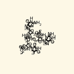 CCOP(=O)(O)O[C@@H]1C[C@H](n2cc(C)c(=O)[nH]c2=O)O[C@@H]1COP(O)(=S)O[C@@H]1C[C@H](n2cnc3c(=O)[nH]c(N)nc32)O[C@@H]1COP(O)(=S)O[C@@H]1C[C@H](n2cnc3c(=O)[nH]c(N)nc32)O[C@@H]1CO